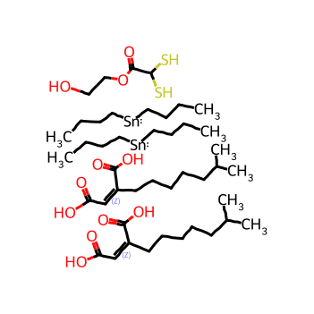 CC(C)CCCCC/C(=C/C(=O)O)C(=O)O.CC(C)CCCCC/C(=C/C(=O)O)C(=O)O.CCC[CH2][Sn][CH2]CCC.CCC[CH2][Sn][CH2]CCC.O=C(OCCO)C(S)S